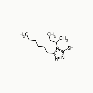 CCCCCCc1nnc(S)n1C(C)CC